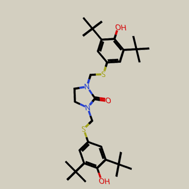 CC(C)(C)c1cc(SCN2CCN(CSc3cc(C(C)(C)C)c(O)c(C(C)(C)C)c3)C2=O)cc(C(C)(C)C)c1O